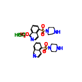 Cl.Cl.O.O=S(=O)(c1cccc2cnccc12)N1CCNCC1.O=S(=O)(c1cccc2cnccc12)N1CCNCC1